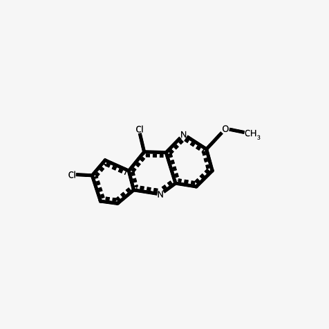 COc1ccc2nc3ccc(Cl)cc3c(Cl)c2n1